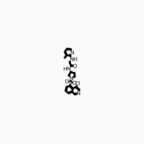 Cc1cccnc1NCC(=O)N[C@@H]1CCN(S(=O)(=O)c2cccc3cncc(Cl)c23)C1